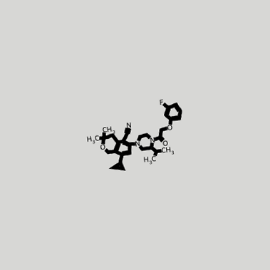 CC(C)C1CN(c2cc(C3CC3)c3c(c2C#N)CC(C)(C)OC3)CCN1C(=O)COc1cccc(F)c1